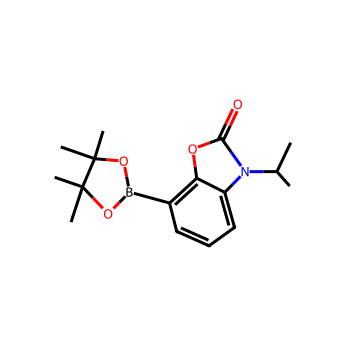 CC(C)n1c(=O)oc2c(B3OC(C)(C)C(C)(C)O3)cccc21